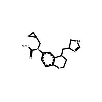 COC(=O)N(CC1CC1)c1ccc2c(c1)C(CC1CNC=N1)CCO2